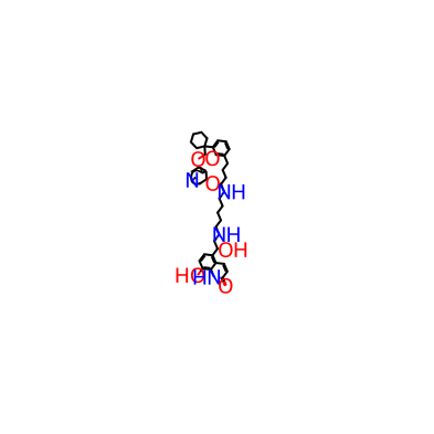 O=C(CCCc1cccc(C2(C(=O)OC3CN4CCC3CC4)CCCCC2)c1)NCCCCCNC[C@H](O)c1ccc(O)c2[nH]c(=O)ccc12